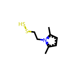 Cc1ccc(C)n1CCSS